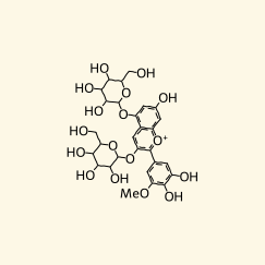 COc1cc(-c2[o+]c3cc(O)cc(OC4OC(CO)C(O)C(O)C4O)c3cc2OC2OC(CO)C(O)C(O)C2O)cc(O)c1O